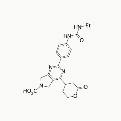 CCNC(=O)Nc1ccc(-c2nc3c(c(C4CCOC(=O)C4)n2)CN(C(=O)O)C3)cc1